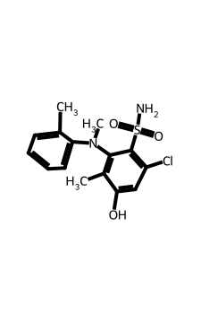 Cc1ccccc1N(C)c1c(C)c(O)cc(Cl)c1S(N)(=O)=O